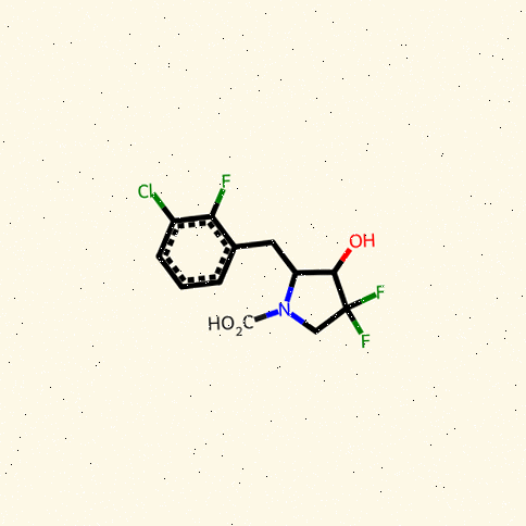 O=C(O)N1CC(F)(F)C(O)C1Cc1cccc(Cl)c1F